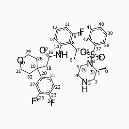 C[C@H]1CNC[C@H](CCc2c(F)cccc2NC(=O)[CH]C2(c3ccc(F)c(F)c3)CCOCC2)N1S(=O)(=O)c1ccccc1